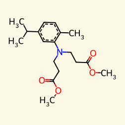 COC(=O)CCN(CCC(=O)OC)c1cc(C(C)C)ccc1C